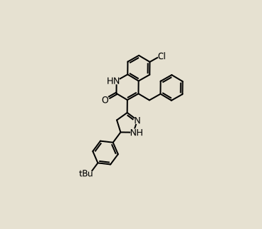 CC(C)(C)c1ccc(C2CC(c3c(Cc4ccccc4)c4cc(Cl)ccc4[nH]c3=O)=NN2)cc1